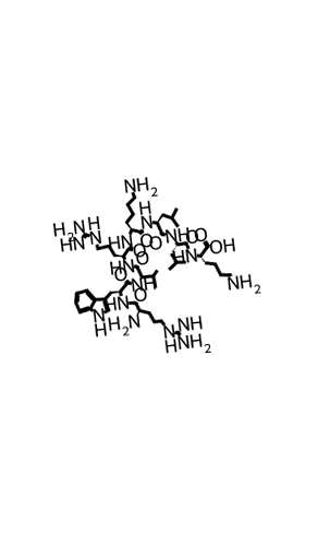 CC(C)C[C@H](NC(=O)[C@H](CC(C)C)NC(=O)[C@H](CCCCN)NC(=O)[C@H](CCCNC(=N)N)NC(=O)[C@@H](NC(=O)[C@H](Cc1c[nH]c2ccccc12)NC(=O)[C@@H](N)CCCNC(=N)N)C(C)C)C(=O)N[C@@H](CCCCN)C(=O)O